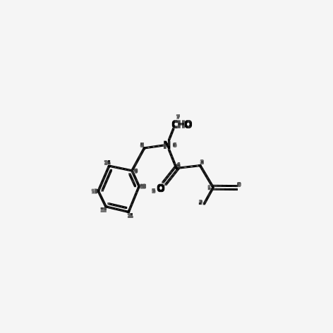 C=C(C)CC(=O)N(C=O)Cc1ccccc1